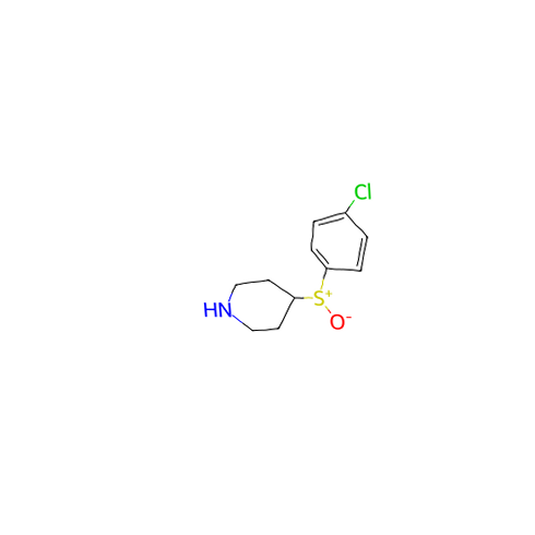 [O-][S+](c1ccc(Cl)cc1)C1CCNCC1